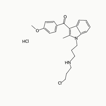 COc1ccc(C(=O)c2c(C)n(CCCNCCCCl)c3ccccc23)cc1.Cl